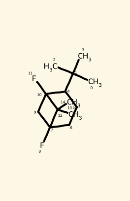 CC(C)(C)C1CCC2(F)CC1(F)C2(C)C